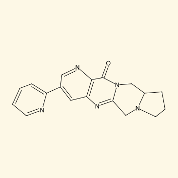 O=c1c2ncc(-c3ccccn3)cc2nc2n1CC1CCCN1C2